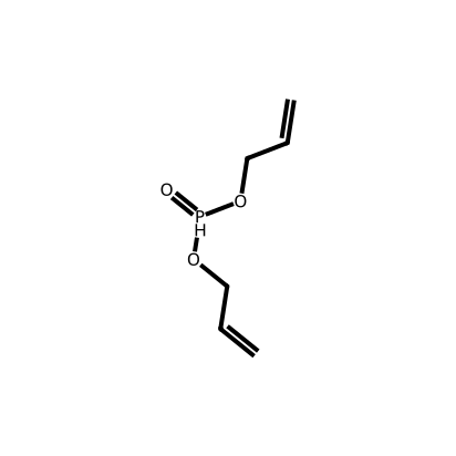 C=CCO[PH](=O)OCC=C